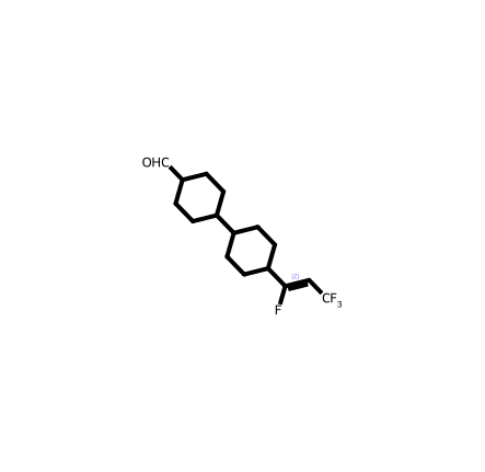 O=CC1CCC(C2CCC(/C(F)=C/C(F)(F)F)CC2)CC1